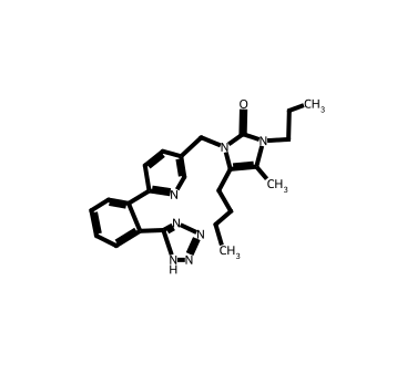 CCCCc1c(C)n(CCC)c(=O)n1Cc1ccc(-c2ccccc2-c2nnn[nH]2)nc1